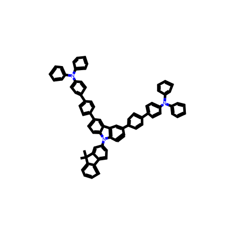 CC1(C)c2ccccc2-c2ccc(-n3c4c#cc(-c5ccc(-c6ccc(N(c7ccccc7)c7ccccc7)cc6)cc5)cc4c4cc(-c5ccc(-c6ccc(N(c7ccccc7)c7ccccc7)cc6)cc5)ccc43)cc21